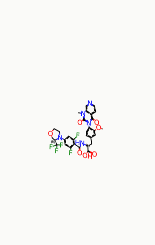 COc1cc(C[C@H](NC(=O)c2c(F)cc(N3CCOC[C@@H]3C(F)(F)F)cc2F)C(=O)O)ccc1-n1c(=O)c2ccncc2n(C)c1=O